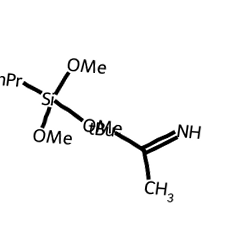 CC(=N)C(C)(C)C.CCC[Si](OC)(OC)OC